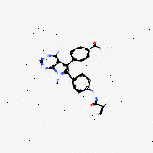 C=C(C)C(=O)Nc1ccc(-c2c(-c3ccc(C(=O)OC)cc3)c3c(N)ncnc3n2C)cc1